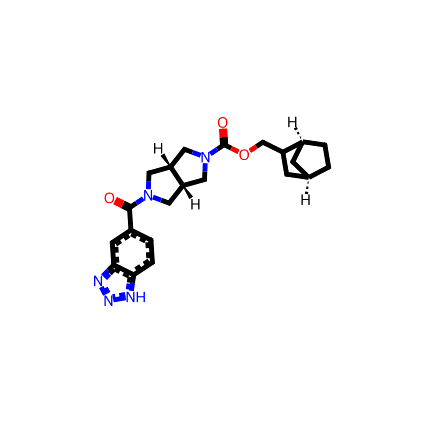 O=C(OCC1C[C@@H]2CC[C@H]1C2)N1C[C@@H]2CN(C(=O)c3ccc4[nH]nnc4c3)C[C@@H]2C1